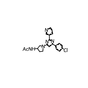 CC(=O)NC1CCN(c2cc(-c3ccc(Cl)cc3)nc(-c3cccnc3)n2)C1